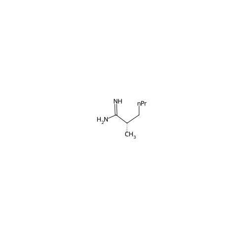 CCCC[C@H](C)C(=N)N